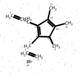 C=C.C=C.CC1=C(C)C(C)C(C)=C1C.[Rh]